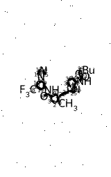 Cc1ccc(C(=O)Nc2cc(-n3ccnc3)cc(C(F)(F)F)c2)cc1C#Cc1cnc2c(NC(=O)OC(C)(C)C)cccn12